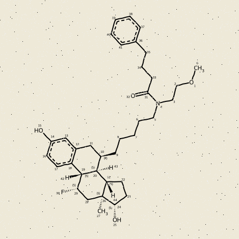 COCCN(CCCCC[C@@H]1Cc2cc(O)ccc2[C@@H]2[C@@H]1[C@@H]1CC[C@H](O)[C@@]1(C)C[C@@H]2F)C(=O)CCCc1ccccc1